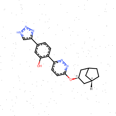 Oc1cc(-c2c[nH]nn2)ccc1-c1ccc(O[C@H]2CC3CC[C@@H](C3)C2)nn1